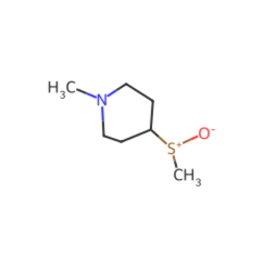 CN1CCC([S+](C)[O-])CC1